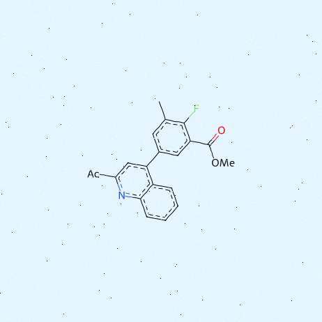 COC(=O)c1cc(-c2cc(C(C)=O)nc3ccccc23)cc(C)c1F